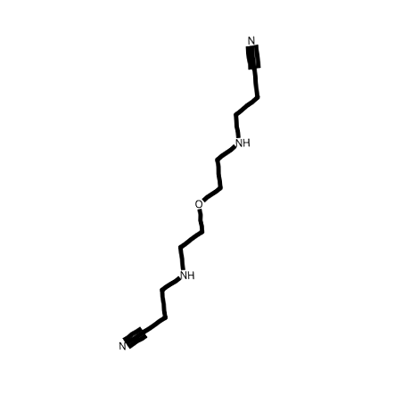 N#CCCNCCOCCNCCC#N